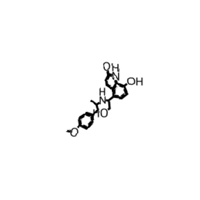 COc1ccc(CC(C)NC(CO)c2ccc(O)c3[nH]c(=O)ccc23)cc1